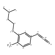 CN(C)CCOc1cc(N=C=S)ccc1C(F)(F)F